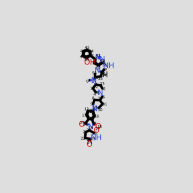 CN(C1CCN(CC2CCN(c3ccc4c(c3)C(=O)N(C3CCC(=O)NC3=O)C4=O)CC2)CC1)C1C[C@@H]2CNc3nnc(-c4ccccc4O)cc3N2C1